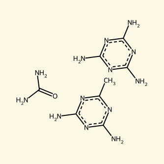 Cc1nc(N)nc(N)n1.NC(N)=O.Nc1nc(N)nc(N)n1